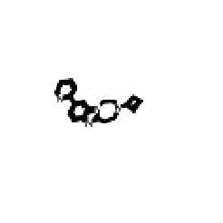 C1=CC(N2CCc3nc4ccc(-c5ccccn5)cc4n3CC2)=C1